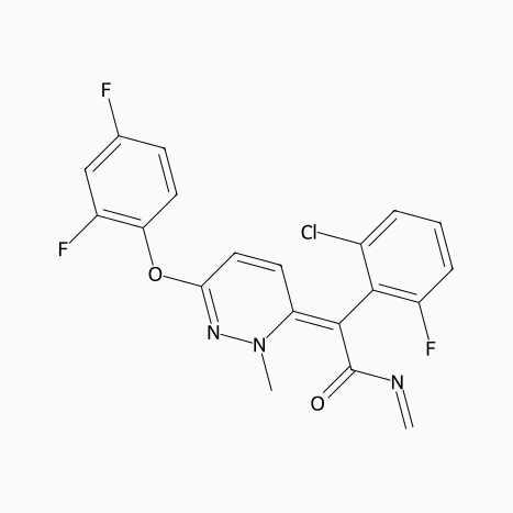 C=NC(=O)/C(=C1/C=CC(Oc2ccc(F)cc2F)=NN1C)c1c(F)cccc1Cl